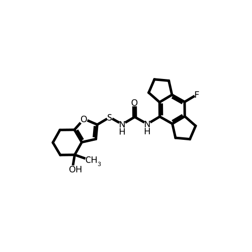 CC1(O)CCCc2oc(SNC(=O)Nc3c4c(c(F)c5c3CCC5)CCC4)cc21